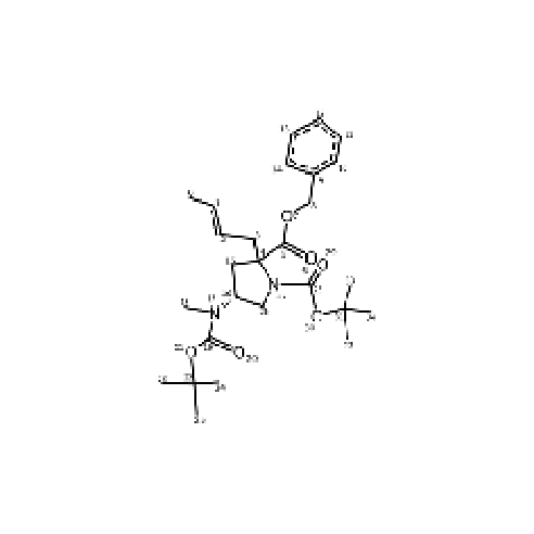 C/C=C/CC1(C(=O)OCc2ccccc2)C[C@@H](N(C)C(=O)OC(C)(C)C)CN1C(=O)OC(C)(C)C